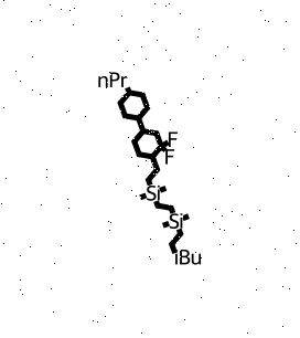 CCCC1CCC(C2CCC(CC[Si](C)(C)CC[Si](C)(C)CCC(C)CC)C(F)(F)C2)CC1